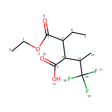 CCOC(=O)C(CC)C(C(=O)O)C(C)C(F)(F)F